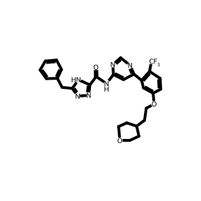 O=C(Nc1cc(-c2cc(OCCC3CCOCC3)ccc2C(F)(F)F)ncn1)c1nnc(Cc2ccccc2)[nH]1